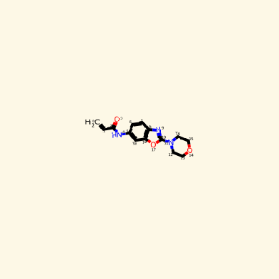 C=CC(=O)Nc1ccc2nc(N3CCOCC3)oc2c1